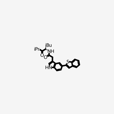 CC[C@H](C)[C@H](NC(=O)Cc1c[nH]c2ccc(-c3cc4ccccc4s3)cc12)C(=O)C(C)C